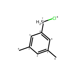 Cc1cc(C)cc([SiH2]Cl)c1